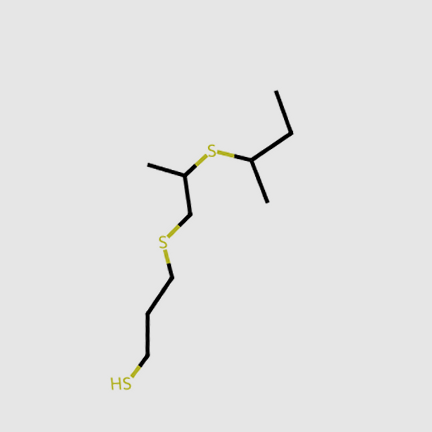 CCC(C)SC(C)CSCCCS